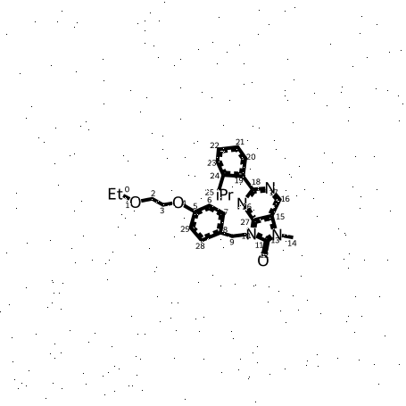 CCOCCOc1ccc(Cn2c(=O)n(C)c3cnc(-c4ccccc4C(C)C)nc32)cc1